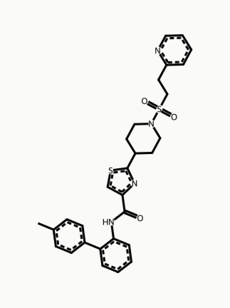 Cc1ccc(-c2ccccc2NC(=O)c2csc(C3CCN(S(=O)(=O)CCc4ccccn4)CC3)n2)cc1